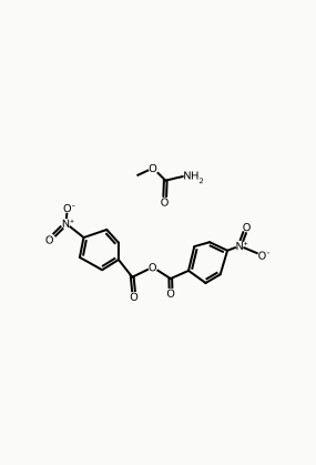 COC(N)=O.O=C(OC(=O)c1ccc([N+](=O)[O-])cc1)c1ccc([N+](=O)[O-])cc1